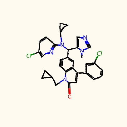 Cn1cncc1C(c1ccc2c(c1)c(-c1cccc(Cl)c1)cc(=O)n2CC1CC1)N(c1ccc(Cl)cn1)C1CC1